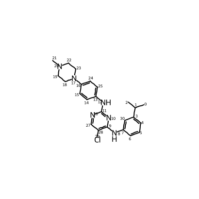 CC(C)c1cccc(Nc2nc(Nc3ccc(N4CCN(C)CC4)cc3)ncc2Cl)c1